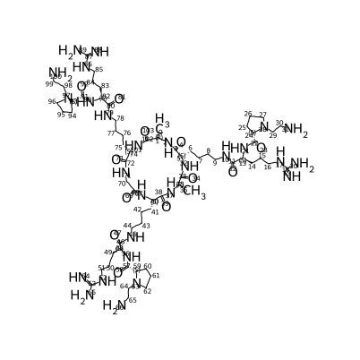 C[C@H]1NC(=O)[C@H](CCCCNC(=O)[C@H](CCCNC(=N)N)NC(=O)[C@@H]2CCCN2CCN)NC(=O)[C@@H](C)NC(=O)[C@H](CCCCNC(=O)[C@H](CCCNC(=N)N)NC(=O)[C@@H]2CCCN2CCN)NC(=O)CNC(=O)[C@H](CCCCNC(=O)[C@H](CCCNC(=N)N)NC(=O)[C@@H]2CCCN2CCN)NC1=O